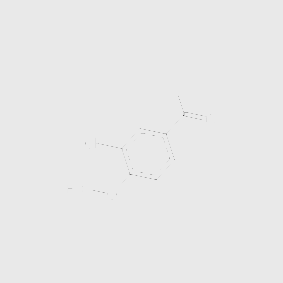 O=C(F)c1ccc(OC(F)(F)F)c(Cl)c1